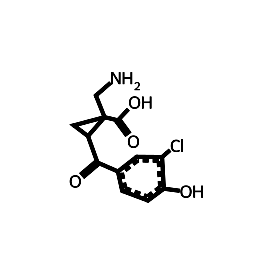 NCC1(C(=O)O)CC1C(=O)c1ccc(O)c(Cl)c1